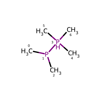 CP(C)[PH](C)(C)C